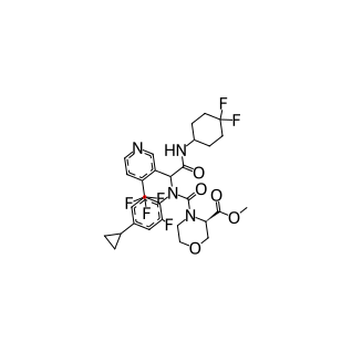 COC(=O)[C@H]1COCCN1C(=O)N(c1ccc(C2CC2)cc1F)C(C(=O)NC1CCC(F)(F)CC1)c1cnccc1C(F)(F)F